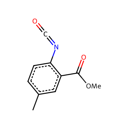 COC(=O)c1cc(C)ccc1N=C=O